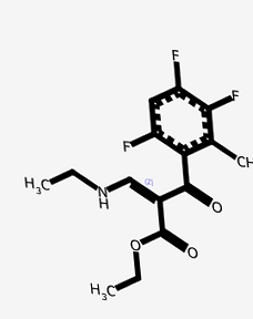 CCN/C=C(\C(=O)OCC)C(=O)c1c(F)cc(F)c(F)c1C